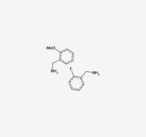 COc1ccccc1CN.NCc1ccccc1F